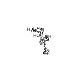 COc1ccc2nccc([C@@H](O)CC[C@@H]3CCN(CCCSc4ncco4)C[C@@H]3CC(=O)O)c2c1